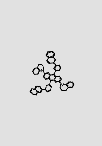 C1=CC(c2ccc3ccccc3c2)CC(c2c3cc(N4CCCc5ccccc54)ccc3c(-c3cccc(C4C=Cc5ccccc5C4)c3)c3cc(N4CCCC5=C4CCC=C5)ccc23)=C1